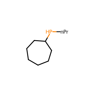 CCCPC1CCCCCC1